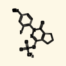 CC(C)(C)c1ccc(-n2nc(OS(=O)(=O)C(F)(F)F)c3c(c2=O)CCC3)c(F)c1